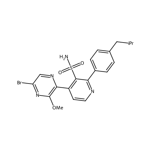 COc1nc(Br)cnc1-c1ccnc(-c2ccc(CC(C)C)cc2)c1S(N)(=O)=O